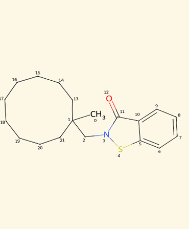 CC1(Cn2sc3ccccc3c2=O)CCCCCCCCC1